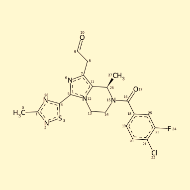 Cc1nsc(-c2nc(CC=O)c3n2CCN(C(=O)c2ccc(Cl)c(F)c2)[C@@H]3C)n1